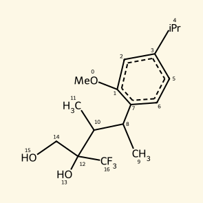 COc1cc(C(C)C)ccc1C(C)C(C)C(O)(CO)C(F)(F)F